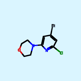 CCc1cc(Cl)nc(N2CCOCC2)c1